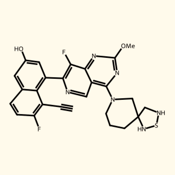 C#Cc1c(F)ccc2cc(O)cc(-c3ncc4c(N5CCCC6(CNSN6)C5)nc(OC)nc4c3F)c12